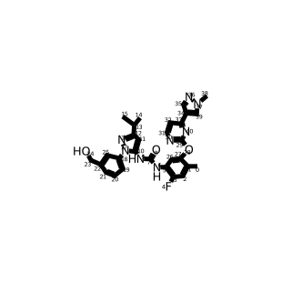 Cc1cc(F)c(NC(=O)Nc2cc(C(C)C)nn2-c2cccc(CO)c2)cc1Oc1nccc(-c2cnn(C)c2)n1